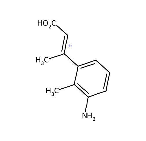 C/C(=C\C(=O)O)c1cccc(N)c1C